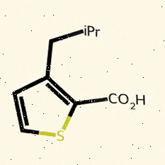 CC(C)Cc1ccsc1C(=O)O